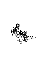 COc1cc2nccc(Oc3c(F)cc(NC(=O)Oc4ccccc4)c(Cl)c3OC)c2cc1C(N)=O